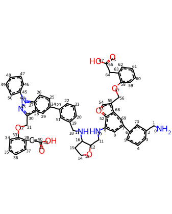 NCc1cccc(-c2cc(NCC3OCCC3NCc3cccc(-c4ccc5c(c4)c(COc4ccccc4CC(=O)O)nn5-c4ccccc4)c3)c3occ(COc4ccccc4CC(=O)O)c3c2)c1